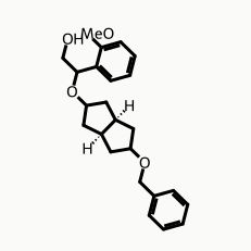 COc1ccccc1C(CO)OC1C[C@H]2CC(OCc3ccccc3)C[C@H]2C1